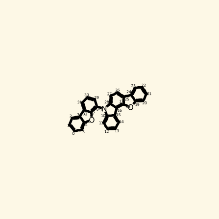 c1ccc2c(c1)oc1c(-n3c4ccccc4c4c5oc6ccccc6c5ccc43)cccc12